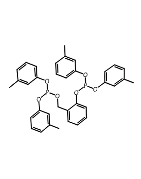 Cc1cccc(OP(OCc2ccccc2OP(Oc2cccc(C)c2)Oc2cccc(C)c2)Oc2cccc(C)c2)c1